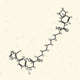 Cc1ncsc1-c1ccc([C@@H](C)CC(=O)NCCCCCCCCCCNC(=O)c2ccc3c(c2)CCC3)cc1